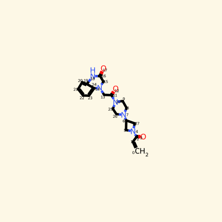 C=CC(=O)N1CC(N2CCN(C(=O)CN3CC(=O)Nc4ccccc43)CC2)C1